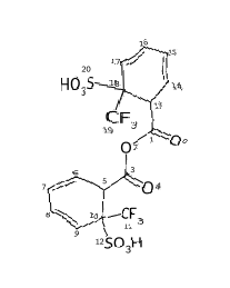 O=C(OC(=O)C1C=CC=CC1(C(F)(F)F)S(=O)(=O)O)C1C=CC=CC1(C(F)(F)F)S(=O)(=O)O